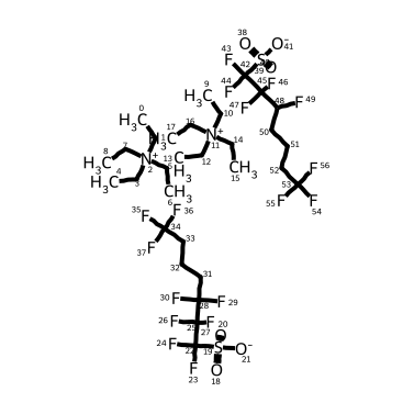 CC[N+](CC)(CC)CC.CC[N+](CC)(CC)CC.O=S(=O)([O-])C(F)(F)C(F)(F)C(F)(F)CCCC(F)(F)F.O=S(=O)([O-])C(F)(F)C(F)(F)C(F)CCCC(F)(F)F